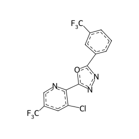 FC(F)(F)c1cccc(-c2nnc(-c3ncc(C(F)(F)F)cc3Cl)o2)c1